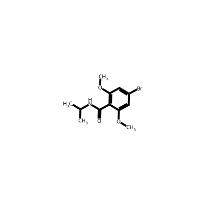 COc1cc(Br)cc(OC)c1C(=O)NC(C)C